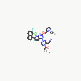 C=CC(=O)N1CCN(c2nc(OCC3CCCN3C)nc3nc(-c4cccc5ccc(F)c(Cl)c45)c(F)cc23)CC1CC#N